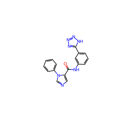 O=C(Nc1cccc(-c2nnn[nH]2)c1)c1cncn1-c1ccccc1